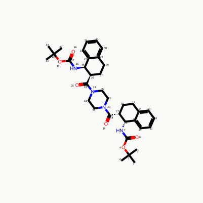 CC(C)(C)OC(=O)N[C@H]1c2ccccc2CC[C@H]1C(=O)N1CCN(C(=O)[C@@H]2CCc3ccccc3[C@@H]2NC(=O)OC(C)(C)C)CC1